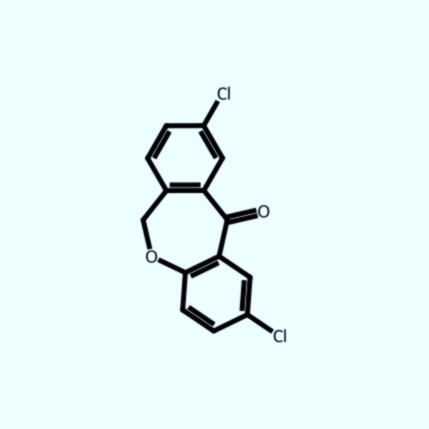 O=C1c2cc(Cl)ccc2COc2ccc(Cl)cc21